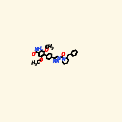 COc1cc(C(N)=O)cc(OC)c1-c1ccc(-c2cn(C(=O)N3CCCCC3Cc3ccccc3)nn2)cc1